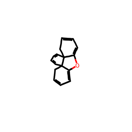 C1=CCC23C=CC=CC24CC=CC=C4OC3=C1